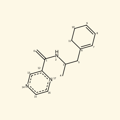 C=C(NC(C)CC1=CC=CCC1)c1cnccn1